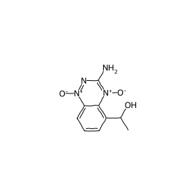 CC(O)c1cccc2c1[n+]([O-])c(N)n[n+]2[O-]